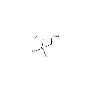 CCCCC[CH2][Al-]([CH2]C)([CH2]C)[CH2]C.[Li+]